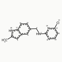 Cc1cc2cc(CNc3nccc(Cl)n3)ccc2[nH]1